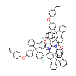 C=Cc1ccc(Oc2ccc(C3(c4ccc(F)cc4)c4ccccc4-c4ccc(N(c5ccc6c(c5)C5(c7ccccc7-6)c6ccccc6-c6ccc(N(c7ccc8c(c7)C(c7ccc(F)cc7)(c7ccc(Oc9ccc(C=C)cc9)cc7)c7ccccc7-8)c7cccc8oc9ccccc9c78)cc65)c5cccc6oc7ccccc7c56)cc43)cc2)cc1